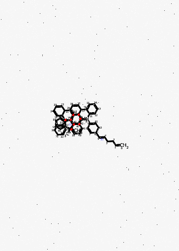 C=CCC/C=C/C1C=CC(N(c2ccccc2C2C=CC(C3C=CC=CC3N(C3=CCCC=C3)/C(C=C)=c3\ccccc3=C)=CC2)C2C=C3C(=CC2)c2ccccc2C3(C)C)=CC1